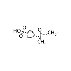 [CH2]CC(=O)N(C)c1ccc(S(=O)(=O)O)cc1